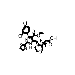 CCOC(=O)C1=C(CN2CCOCC2C(F)(F)CC(=O)O)NC(c2nccs2)=N[C@H]1c1ccc(Cl)cc1Cl